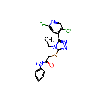 CCn1c(SCC(=O)Nc2ccccc2)nnc1-c1cc(Cl)ncc1Cl